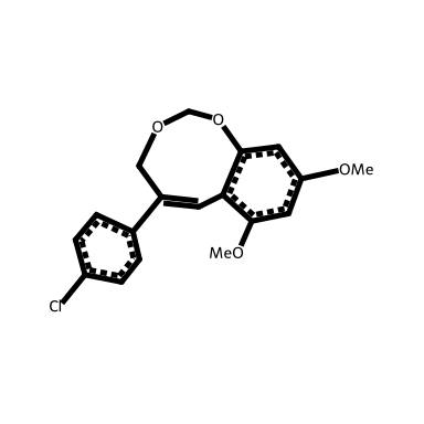 COc1cc(OC)c2c(c1)OCOC/C(c1ccc(Cl)cc1)=C\2